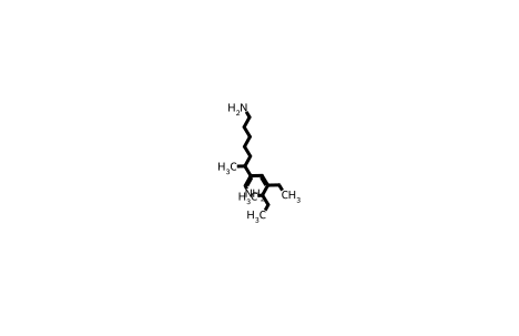 CC/C(=C/C(=C\N)C(C)CCCCCN)C(C)CC